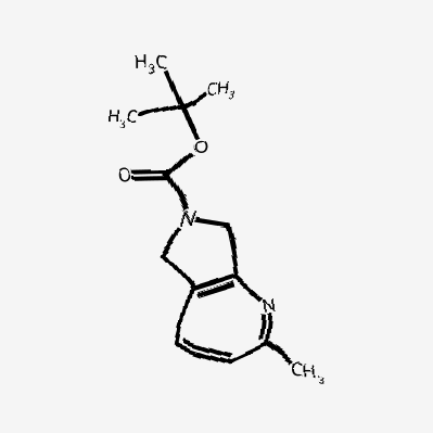 Cc1ccc2c(n1)CN(C(=O)OC(C)(C)C)C2